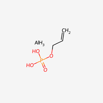 C=CCOP(=O)(O)O.[AlH3]